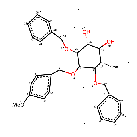 COc1ccc(COC2C(OCc3ccccc3)[C@@H](C)C(O)[C@@H](O)[C@H]2OCc2ccccc2)cc1